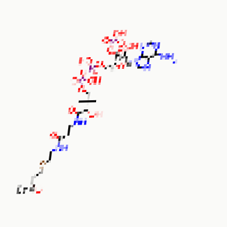 CC[C@@H](O)CCSCCNC(=O)CCNC(=O)C(O)C(C)(C)COP(=O)(O)OP(=O)(O)OC[C@H]1O[C@@H](n2cnc3c(N)ncnc32)[C@H](O)[C@@H]1OP(=O)(O)O